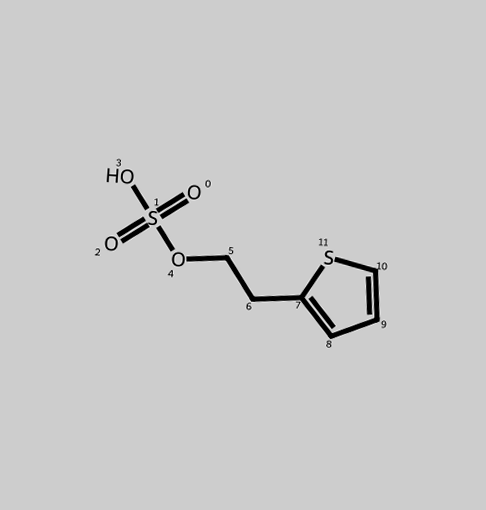 O=S(=O)(O)OCCc1cccs1